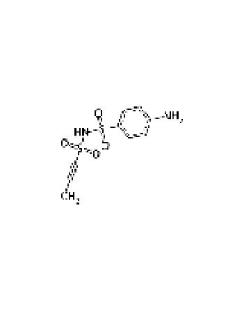 CC#CS(=O)(=O)NS(=O)(=O)c1ccc(N)cc1